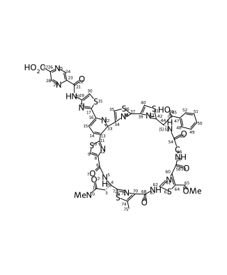 CNC(=O)C[C@@H]1NC(=O)c2csc(n2)-c2ccc(-c3nc(NC(=O)c4cnc(C(=O)O)cn4)cs3)nc2-c2csc(n2)-c2csc(n2)[C@H]([C@@H](O)c2ccccc2)NC(=O)CNC(=O)c2nc(sc2COC)NC(=O)c2nc1sc2C